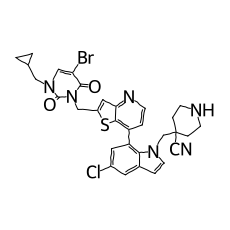 N#CC1(Cn2ccc3cc(Cl)cc(-c4ccnc5cc(Cn6c(=O)c(Br)cn(CC7CC7)c6=O)sc45)c32)CCNCC1